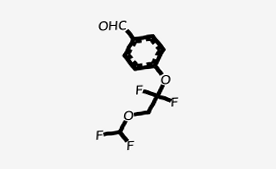 O=Cc1ccc(OC(F)(F)COC(F)F)cc1